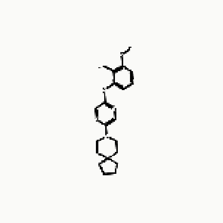 FSc1cccc(Sc2cnc(N3CCC4(CCCC4)CC3)cn2)c1Cl